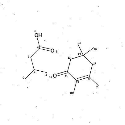 CC(C)CC(=O)O.CC1=C(C)C(=O)CC(C)(C)C1